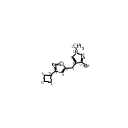 Cn1cc(Cc2cc(C3CCC3)no2)c(Br)n1